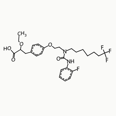 CCOC(Cc1ccc(OCCN(CCCCCCC(F)(F)F)C(=O)Nc2ccccc2F)cc1)C(=O)O